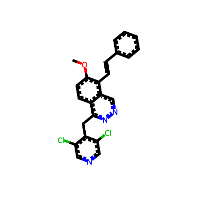 COc1ccc2c(Cc3c(Cl)cncc3Cl)nncc2c1/C=C/c1ccccc1